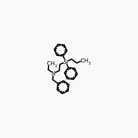 CCC[Si](CCN(CC)Cc1ccccc1)(c1ccccc1)c1ccccc1